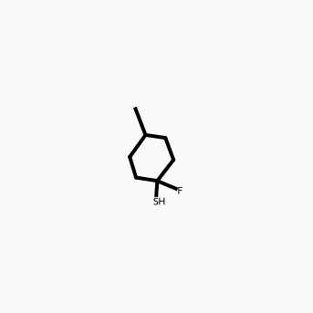 CC1CCC(F)(S)CC1